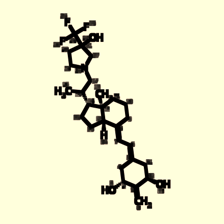 C=C1[C@H](O)CC(=C/C=C2\CCC[C@]3(C)[C@@H](C(C)CN4CCC(O)(C(F)(F)F)C4)CC[C@@H]23)C[C@H]1O